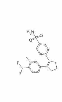 Cc1cc(C2=C(c3ccc(S(N)(=O)=O)cc3)CCC2)ccc1C(F)F